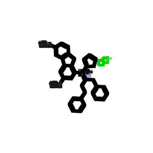 CC(C)(C)c1ccc2c(c1)-c1cc(C(C)(C)C)c[c](/[Zr+2]([C]3=CC=CC3)=[C](\CCc3ccccc3)Cc3ccccc3)c1C2.[Cl-].[Cl-]